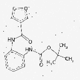 CC(C)(C)OC(=O)Nc1ccccc1NC(=O)c1ccoc1